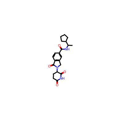 CC(NC(=O)c1ccc2c(c1)CN(C1CCC(=O)NC1=O)C2=O)C1CCCC1